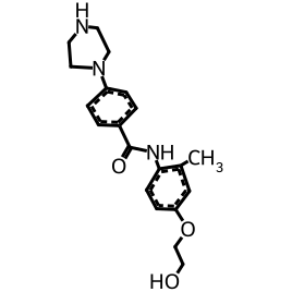 Cc1cc(OCCO)ccc1NC(=O)c1ccc(N2CCNCC2)cc1